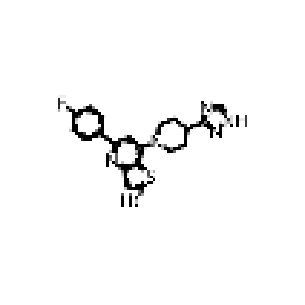 Cl.Fc1ccc(-c2cc(N3CCC(c4nc[nH]n4)CC3)c3sccc3n2)cc1